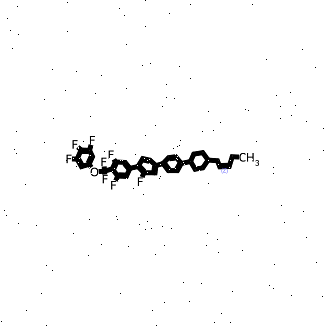 CC/C=C\CC1CCC(c2ccc(-c3ccc(-c4cc(F)c(C(F)(F)Oc5cc(F)c(F)c(F)c5)c(F)c4)c(F)c3)cc2)CC1